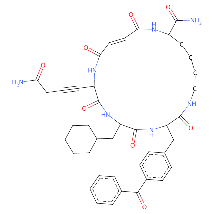 NC(=O)CC#CC1NC(=O)/C=C/C(=O)NC(C(N)=O)CCCCNC(=O)C(Cc2ccc(C(=O)c3ccccc3)cc2)NC(=O)C(CC2CCCCC2)NC1=O